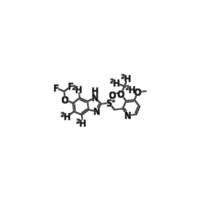 [2H]c1c(OC(F)F)c([2H])c2[nH]c([S+]([O-])Cc3nccc(OC)c3OC([2H])([2H])[2H])nc2c1[2H]